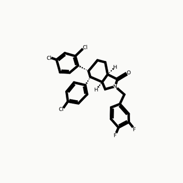 O=C1[C@@H]2CC[C@@H](c3ccc(Cl)cc3Cl)[C@@H](c3ccc(Cl)cc3)[C@@H]2CN1Cc1ccc(F)c(F)c1